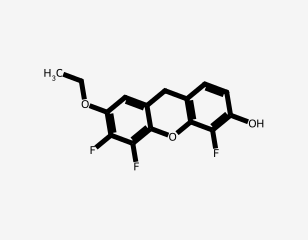 CCOc1cc2c(c(F)c1F)Oc1c(ccc(O)c1F)C2